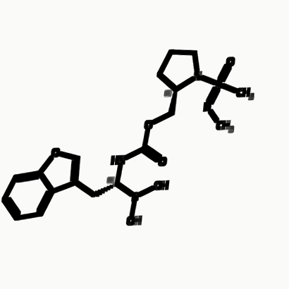 CN=S(C)(=O)N1CCC[C@@H]1COC(=O)N[C@@H](Cc1coc2ccccc12)B(O)O